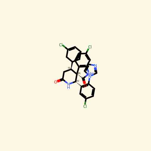 O=C1C[C@@H](C2C=CC=C(Cl)C2)[C@]2(C(=O)Nc3cc(Cl)ccc32)[C@H](c2cc(Cl)ccc2-n2ccnc2)N1